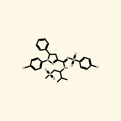 CC(C)C(CS(C)(=O)=O)NC(=NS(=O)(=O)c1ccc(Cl)cc1)C1=NN(c2ccc(Cl)cc2)C(c2ccccc2)C1